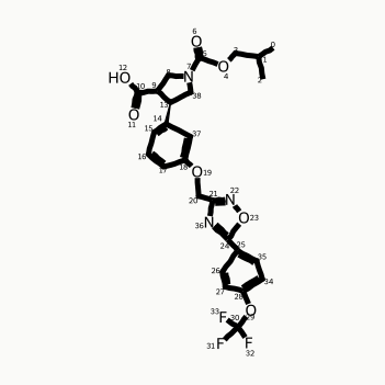 CC(C)COC(=O)N1CC(C(=O)O)[C@H](c2cccc(OCc3noc(-c4ccc(OC(F)(F)F)cc4)n3)c2)C1